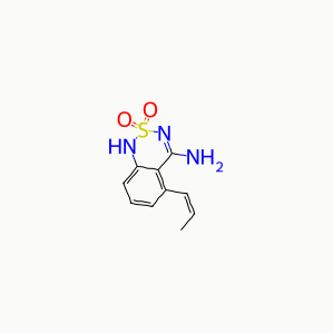 C/C=C\c1cccc2c1C(N)=NS(=O)(=O)N2